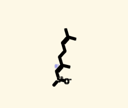 CC(C)=CCC/C(C)=C/[S+](C)[O-]